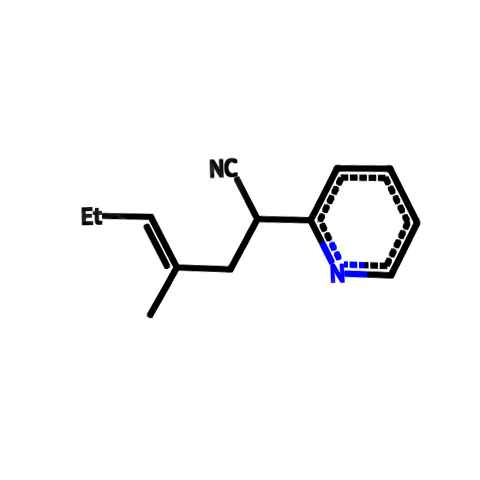 CCC=C(C)CC(C#N)c1ccccn1